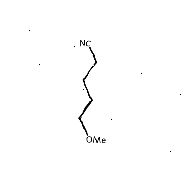 [CH2]OCCCCC#N